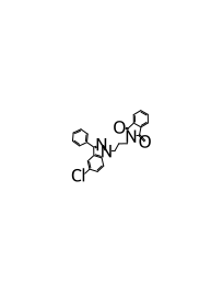 O=C1c2ccccc2C(=O)N1CCCn1nc(-c2ccccc2)c2cc(Cl)ccc21